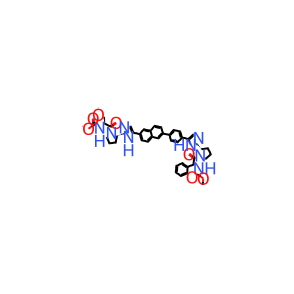 COC[C@H](NC(=O)OC)C(=O)N1CCC[C@H]1c1ncc(-c2ccc3cc(-c4ccc(-c5cnc([C@@H]6CCCN6C(=O)[C@H](NC(=O)OC)c6ccccc6)[nH]5)cc4)ccc3c2)[nH]1